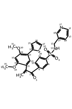 C=C(C(=O)c1ccc(S(=O)(=O)NCc2cccnc2)cc1)c1cc(-c2cccs2)c(OC)cc1OC